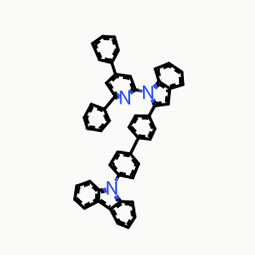 c1ccc(-c2cc(-c3ccccc3)nc(-n3c(-c4ccc(-c5ccc(-n6c7ccccc7c7ccccc76)cc5)cc4)cc4ccccc43)c2)cc1